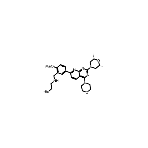 COc1ccc(-c2ccc3c(N4CCOCC4)nc(N4C[C@@H](C)O[C@@H](C)C4)nc3n2)cc1CNCCC(C)(C)C